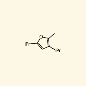 Cc1oc(C(C)C)cc1C(C)C